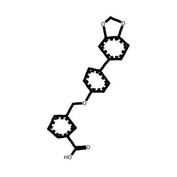 O=C(O)c1cccc(COc2ccc(-c3ccc4c(c3)OCO4)cc2)c1